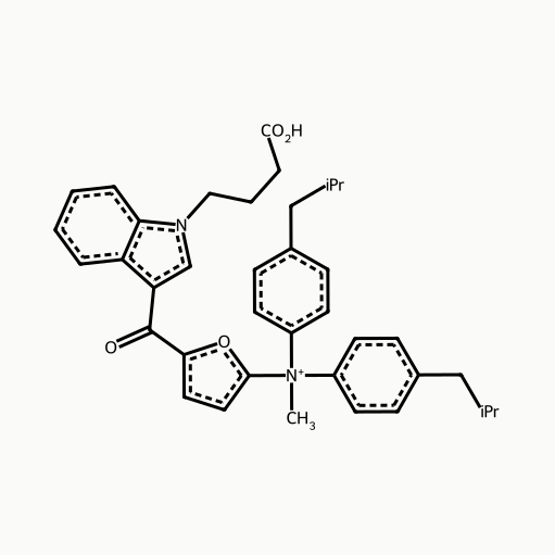 CC(C)Cc1ccc([N+](C)(c2ccc(CC(C)C)cc2)c2ccc(C(=O)c3cn(CCCC(=O)O)c4ccccc34)o2)cc1